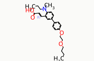 CCCCOCCOc1ccc(-c2ccc(N(C)CCC)c(/C=C/C(=O)O)c2)cc1